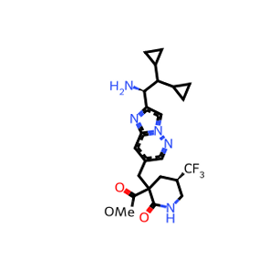 COC(=O)C1(Cc2cnn3cc([C@@H](N)C(C4CC4)C4CC4)nc3c2)C[C@@H](C(F)(F)F)CNC1=O